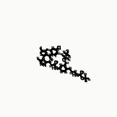 Cc1sc2c(c1C)C(c1ccc(Cl)cc1)=N[C@@H](CC(=O)Nc1ccc(CCCNC(=O)OC(C)(C)C)c(CO[Si](C)(C)C(C)(C)C)c1)c1nnc(C)n1-2